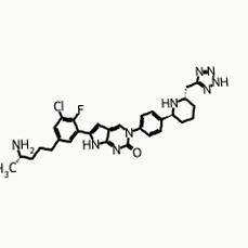 C[C@H](N)CCCc1cc(Cl)c(F)c(-c2cc3cn(-c4ccc([C@@H]5CCC[C@@H](Cc6nn[nH]n6)N5)cc4)c(=O)nc3[nH]2)c1